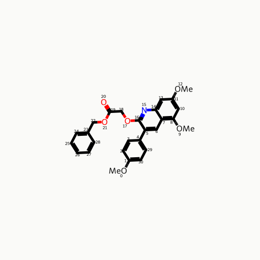 COc1ccc(-c2cc3c(OC)cc(OC)cc3nc2OCC(=O)OCc2ccccc2)cc1